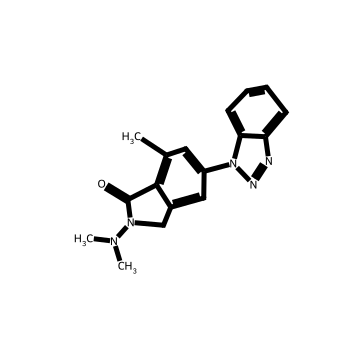 Cc1cc(-n2nnc3ccccc32)cc2c1C(=O)N(N(C)C)C2